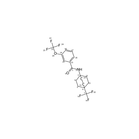 O=C(NC12CCC(C(F)(F)F)(CC1)CC2)c1cccc(OC(F)(F)F)c1